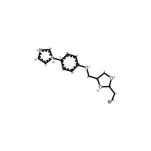 BrCC1OCC(COc2ccc(-n3ccnc3)cc2)O1